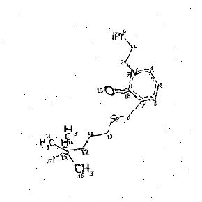 CC(C)CCn1cccc(CSCCC[SH](C)(C)(C)I)c1=O